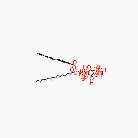 CC#CC#CC#CC#CC#CC#CC(=O)OC[C@H](COP(=O)(O)OC1C(O)[C@@H](O)C(OP(=O)(O)O)[C@@H](O)[C@H]1O)OC(=O)CCCCCCCCCCCCCCC